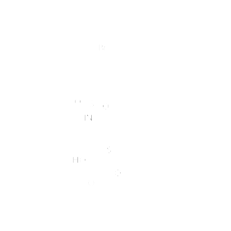 O=C(O)C(Oc1ccccc1)SCCNS(=O)(=O)c1ccc(Br)cc1